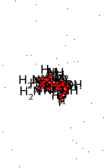 CC(C)[C@H](NC(=O)[C@H](CCC(=O)O)NC(=O)[C@H](CC(=O)O)NC(=O)Cn1cc(CCCF)nn1)C(=O)N[C@@H](CC(=O)O)C(=O)N[C@@H](CCCCN)C(=O)N[C@@H](CCCCN)C(=O)N[C@@H](CCCCN)C(=O)N[C@@H](CCCCN)C(N)=O